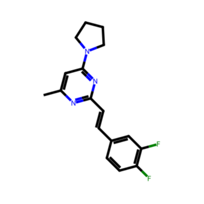 Cc1cc(N2CCCC2)nc(C=Cc2ccc(F)c(F)c2)n1